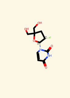 O=c1ccn([C@@H]2OC(CO)(CO)C[C@@H]2F)c(=O)[nH]1